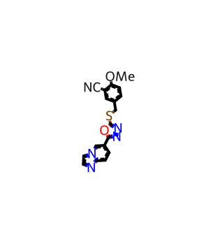 COc1ccc(CSc2nnc(-c3ccc4nccn4c3)o2)cc1C#N